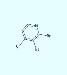 CCc1c(Cl)ccnc1Br